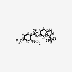 CS(=O)(=O)c1nnc2ccc(NC(=O)c3ccc(C(F)(F)F)cc3[N+](=O)[O-])cn12